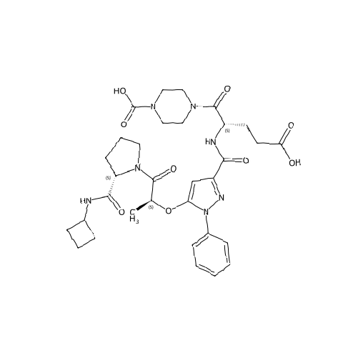 C[C@H](Oc1cc(C(=O)N[C@@H](CCC(=O)O)C(=O)N2CCN(C(=O)O)CC2)nn1-c1ccccc1)C(=O)N1CCC[C@H]1C(=O)NC1CCC1